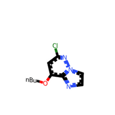 CCCCOc1cc(Cl)nn2ccnc12